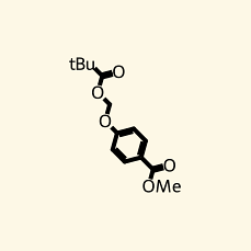 COC(=O)c1ccc(OCOC(=O)C(C)(C)C)cc1